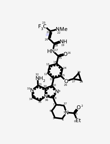 CCC(=O)N1CCCC(c2nc(-c3ccc(C(=O)NC(=N)/C=C(\NC)C(F)(F)F)cc3OC3CC3)c3c(N)nccn23)C1